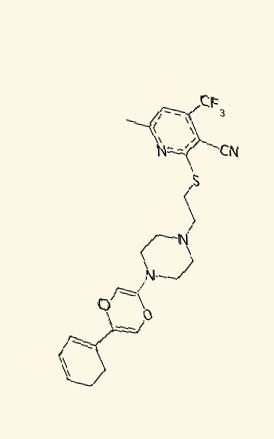 Cc1cc(C(F)(F)F)c(C#N)c(SCCN2CCN(C3=COC(C4=CC=CCC4)=CO3)CC2)n1